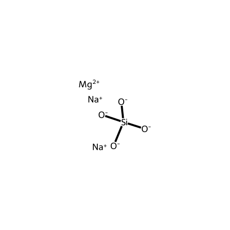 [Mg+2].[Na+].[Na+].[O-][Si]([O-])([O-])[O-]